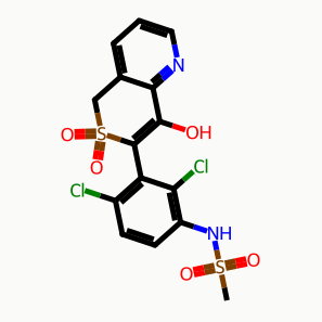 CS(=O)(=O)Nc1ccc(Cl)c(C2=C(O)c3ncccc3CS2(=O)=O)c1Cl